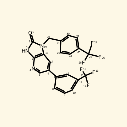 O=c1[nH]c2ncc(-c3cccc(C(F)(F)F)c3)cc2n1Cc1ccc(C(F)(F)F)cc1